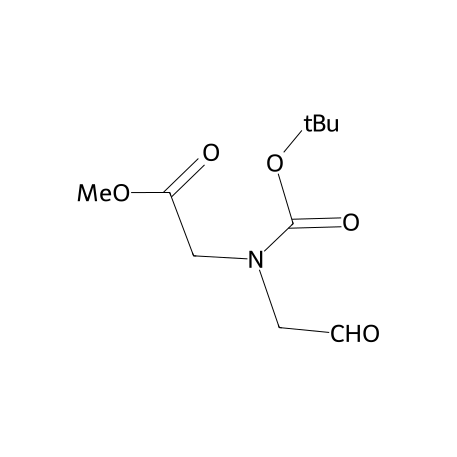 COC(=O)CN(CC=O)C(=O)OC(C)(C)C